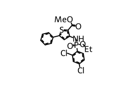 CCOP(=O)(Nc1cc(-c2ccccc2)sc1C(=O)OC)c1ccc(Cl)cc1Cl